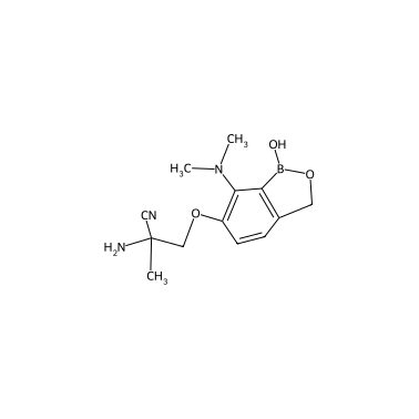 CN(C)c1c(OCC(C)(N)C#N)ccc2c1B(O)OC2